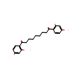 O=C(CCCCCCCC(=O)c1ccc(O)cc1O)c1ccc(O)cc1O